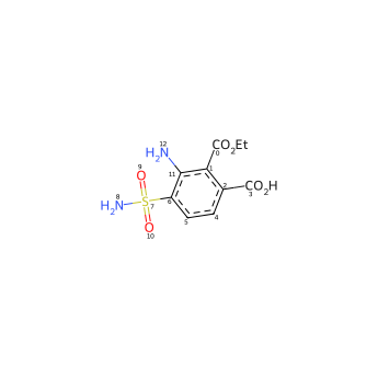 CCOC(=O)c1c(C(=O)O)ccc(S(N)(=O)=O)c1N